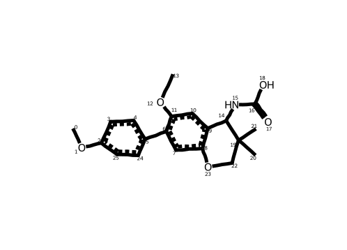 COc1ccc(-c2cc3c(cc2OC)C(NC(=O)O)C(C)(C)CO3)cc1